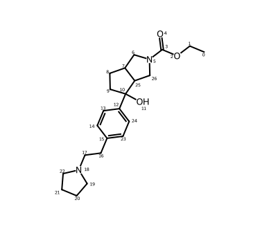 CCOC(=O)N1CC2CCC(O)(c3ccc(CCN4CCCC4)cc3)C2C1